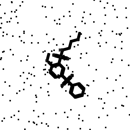 COCCNS(=O)(=O)c1cc(S(=O)(=O)c2ccccc2)ccc1OC